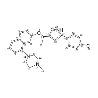 CC(Oc1ccc2cccc(N3CCN(C)CC3)c2c1)c1c[nH]c(-c2ccc(Cl)cc2)c1